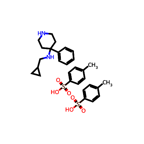 Cc1ccc(S(=O)(=O)O)cc1.Cc1ccc(S(=O)(=O)O)cc1.c1ccc(C2(NCC3CC3)CCNCC2)cc1